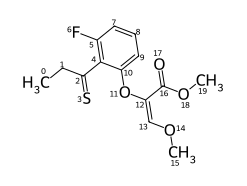 CCC(=S)c1c(F)cccc1OC(=COC)C(=O)OC